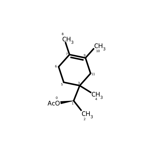 CC(=O)O[C@H](C)C1(C)CCC(C)=C(C)C1